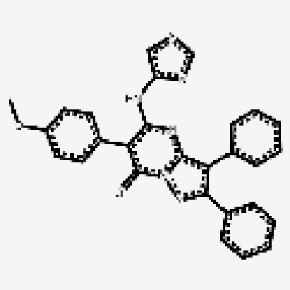 COc1ccc(-c2c(Nc3cscn3)[nH]c3c(-c4ccccc4)c(-c4ccccc4)nn3c2=O)cc1